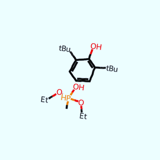 CC(C)(C)c1cccc(C(C)(C)C)c1O.CCO[PH](C)(O)OCC